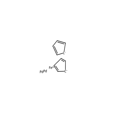 [Fe+2].[Pd].[Pd].c1cc[cH-]c1.c1cc[cH-]c1